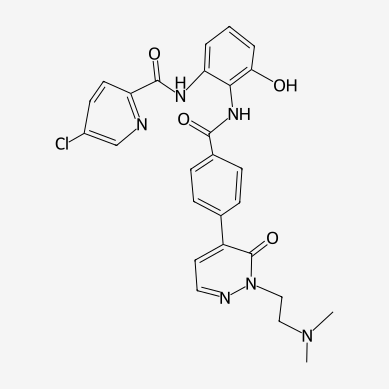 CN(C)CCn1nccc(-c2ccc(C(=O)Nc3c(O)cccc3NC(=O)c3ccc(Cl)cn3)cc2)c1=O